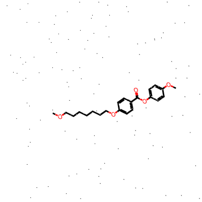 COCCCCCCCOc1ccc(C(=O)Oc2ccc(OC)cc2)cc1